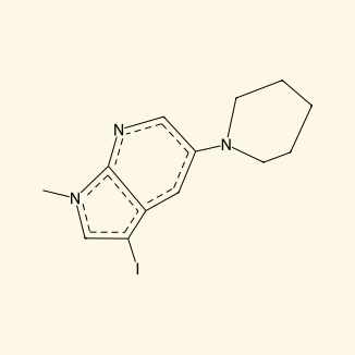 Cn1cc(I)c2cc(N3CCCCC3)cnc21